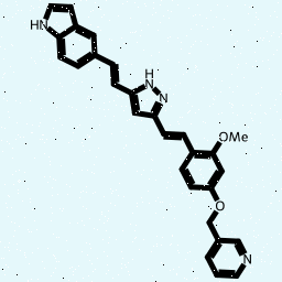 COc1cc(OCc2cccnc2)ccc1/C=C/c1cc(/C=C/c2ccc3[nH]ccc3c2)[nH]n1